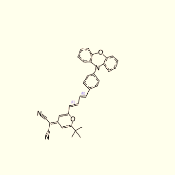 CC(C)(C)C1=CC(=C(C#N)C#N)C=C(/C=C/C=C/c2ccc(N3c4ccccc4Oc4ccccc43)cc2)O1